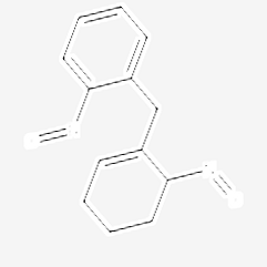 O=Nc1ccccc1CC1=CCCCC1N=O